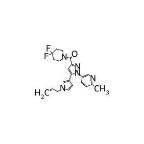 C=CCn1ccc(-c2cc(C(=O)N3CCC(F)(F)CC3)nn2-c2ccc(C)nc2)c1